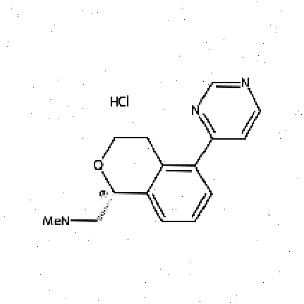 CNC[C@@H]1OCCc2c(-c3ccncn3)cccc21.Cl